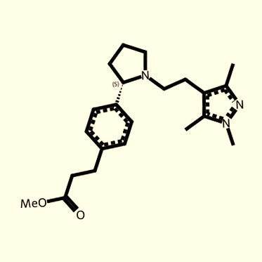 COC(=O)CCc1ccc([C@@H]2CCCN2CCc2c(C)nn(C)c2C)cc1